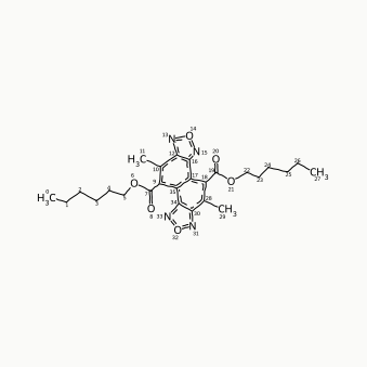 CCCCCCOC(=O)c1c(C)c2nonc2c2c(C(=O)OCCCCCC)c(C)c3nonc3c12